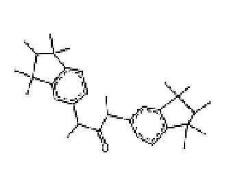 CC(C(=O)C(C)c1ccc2c(c1)C(C)(C)C(C)C2(C)C)c1ccc2c(c1)C(C)(C)C(C)C2(C)C